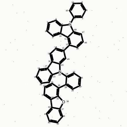 c1ccc(-n2c3ccccc3c3c(-c4ccc5c6ccccc6n(-c6ccccc6-c6cccc7c6oc6ccccc67)c5c4)cccc32)cc1